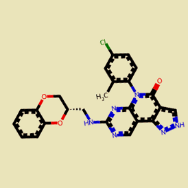 Cc1cc(Cl)ccc1-n1c(=O)c2c[nH]nc2c2cnc(NC[C@H]3COc4ccccc4O3)nc21